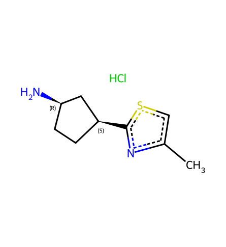 Cc1csc([C@H]2CC[C@@H](N)C2)n1.Cl